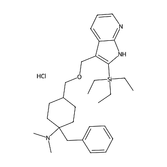 CC[Si](CC)(CC)c1[nH]c2ncccc2c1COCC1CCC(Cc2ccccc2)(N(C)C)CC1.Cl